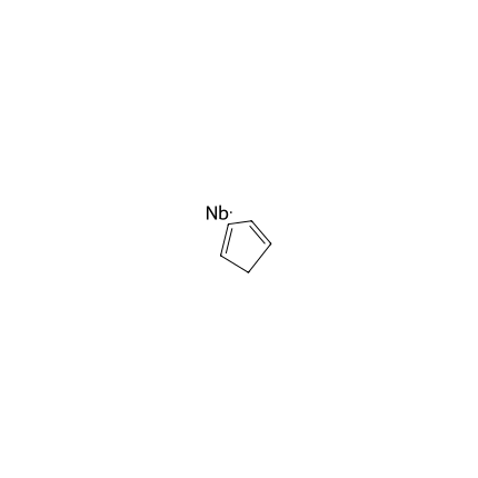 C1=CCC=C1.[Nb]